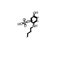 CCCCNc1ccc(O)cc1.O=S(=O)(O)O